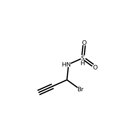 C#CC(Br)N[SH](=O)=O